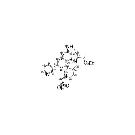 CCOCc1nc2c(N)nc3cc(-c4cccnc4)ccc3c2n1CC1CCN(C[SH](=O)=O)CC1